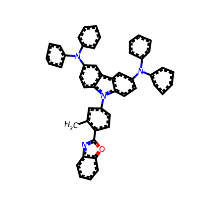 Cc1cc(-n2c3ccc(N(c4ccccc4)c4ccccc4)cc3c3cc(N(c4ccccc4)c4ccccc4)ccc32)ccc1-c1nc2ccccc2o1